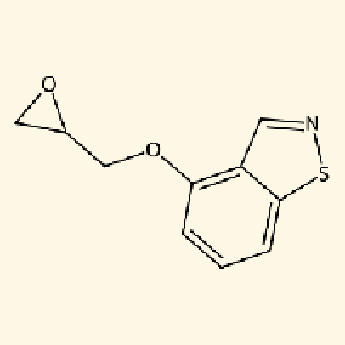 c1cc(OCC2CO2)c2cnsc2c1